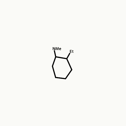 CCC1CCCCC1NC